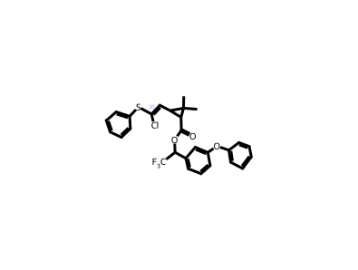 CC1(C)C(/C=C(\Cl)Sc2ccccc2)C1C(=O)OC(c1cccc(Oc2ccccc2)c1)C(F)(F)F